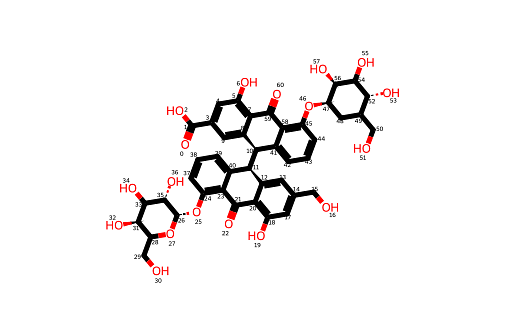 O=C(O)c1cc(O)c2c(c1)[C@H]([C@H]1c3cc(CO)cc(O)c3C(=O)c3c(O[C@@H]4OC(CO)[C@@H](O)C(O)[C@@H]4O)cccc31)c1cccc(O[C@@H]3CC(CO)[C@@H](O)C(O)[C@@H]3O)c1C2=O